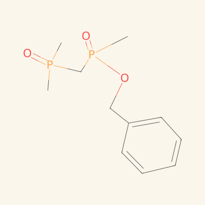 CP(C)(=O)CP(C)(=O)OCc1ccccc1